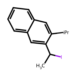 CC(C)c1cc2ccccc2cc1C(C)I